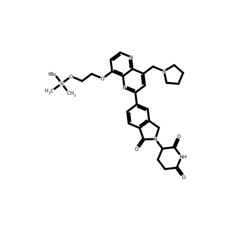 CC(C)(C)[Si](C)(C)OCCOc1ccnc2c(CN3CCCC3)cc(-c3ccc4c(c3)CN(C3CCC(=O)NC3=O)C4=O)nc12